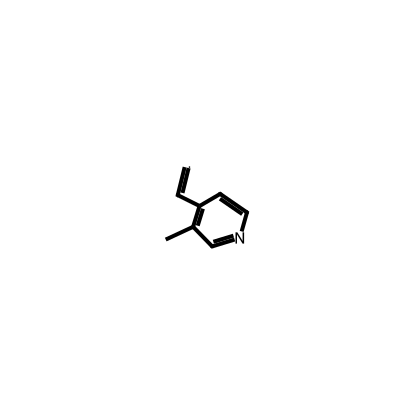 [CH]=Cc1ccncc1C